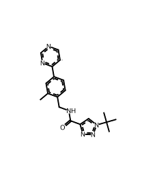 Cc1cc(-c2[c]cncn2)ccc1CNC(=O)c1cn(C(C)(C)C)nn1